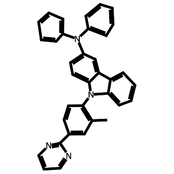 Cc1cc(-c2ncccn2)ccc1-n1c2ccccc2c2cc(N(c3ccccc3)c3ccccc3)ccc21